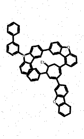 CCC1CC(c2cccc3oc4ccc(-c5ccc6c(c5)c5ccccc5n6-c5cccc(-c6ccccc6)c5)cc4c23)=CC(c2ccc3c4c(oc3c2)C=CCC4)=CC1c1ccccc1